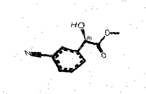 COC(=O)[C@H](O)c1cccc(C#N)c1